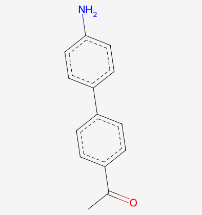 CC(=O)c1ccc(-c2ccc(N)cc2)cc1